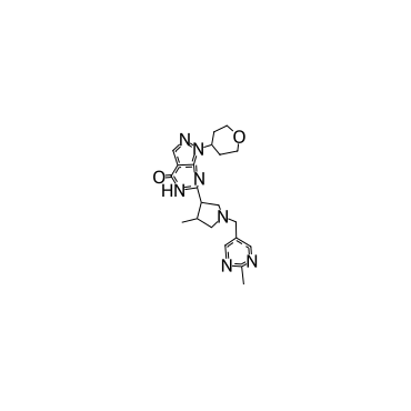 Cc1ncc(CN2CC(C)C(c3nc4c(cnn4C4CCOCC4)c(=O)[nH]3)C2)cn1